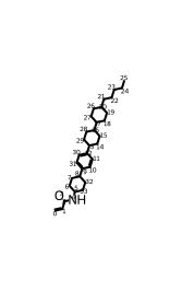 C=CC(=O)NC1CCC(c2ccc(C3CCC(C4CCC(CCCCC)CC4)CC3)cc2)CC1